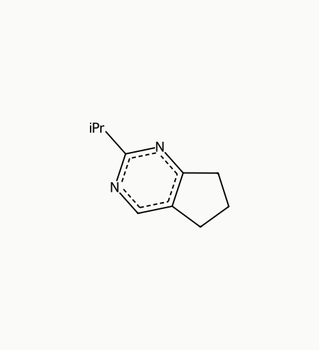 CC(C)c1ncc2c(n1)CCC2